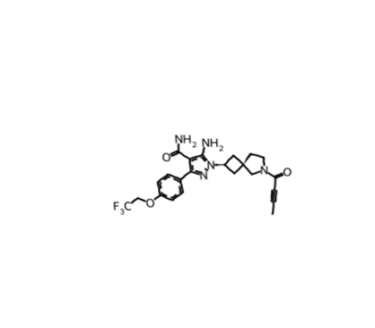 CC#CC(=O)N1CC[C@]2(C1)C[C@H](n1nc(-c3ccc(OCC(F)(F)F)cc3)c(C(N)=O)c1N)C2